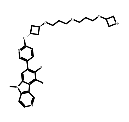 Cn1c2ccncc2c2c(F)c(F)c(-c3ccc(O[C@H]4C[C@H](OCCCOCCCOC5CNC5)C4)nc3)cc21